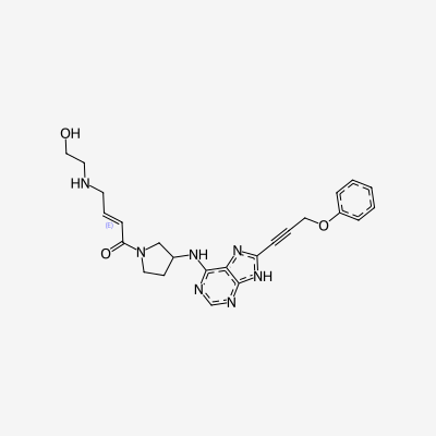 O=C(/C=C/CNCCO)N1CCC(Nc2ncnc3[nH]c(C#CCOc4ccccc4)nc23)C1